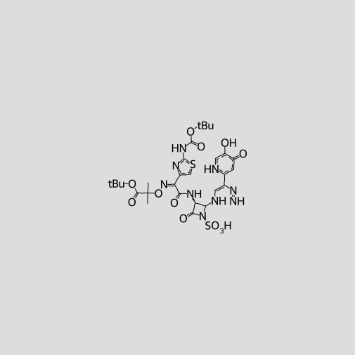 CC(C)(C)OC(=O)Nc1nc(/C(=N/OC(C)(C)C(=O)OC(C)(C)C)C(=O)N[C@@H]2C(=O)N(S(=O)(=O)O)C2N/C=C(\N=N)c2cc(=O)c(O)c[nH]2)cs1